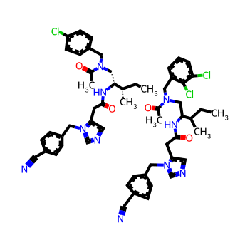 CCC(C)C(CN(Cc1cccc(Cl)c1Cl)C(C)=O)NC(=O)Cc1cncn1Cc1ccc(C#N)cc1.CC[C@H](C)[C@@H](CN(Cc1ccc(Cl)cc1)C(C)=O)NC(=O)Cc1cncn1Cc1ccc(C#N)cc1